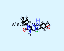 COC12CC3CC(C1)CC(n1c(=O)n(C)c4cnc(NC5=CC6CCOC6C=C5Cl)nc41)(C3)C2